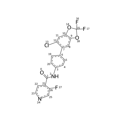 O=C(Nc1ccc(-c2cc3c(cc2Cl)OC(F)(F)O3)cc1)c1ccncc1F